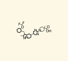 Cc1nn2ccc(-c3cnc(N4CCC(C)(C(=O)O)CC4)nc3)cc2c1Cc1ccccc1OC(F)F